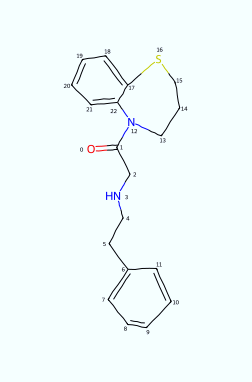 O=C(CNCCc1ccccc1)N1CCCSc2ccccc21